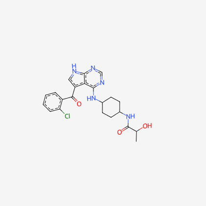 CC(O)C(=O)NC1CCC(Nc2ncnc3[nH]cc(C(=O)c4ccccc4Cl)c23)CC1